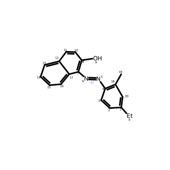 CCc1ccc(/N=N/c2c(O)ccc3ccccc23)c(C)c1